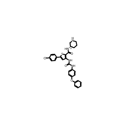 O=C(Nc1ccc(Oc2ccccc2)cc1)Nc1cc(-c2ccc(Cl)cc2)sc1C(=O)N[C@H]1CCCNC1